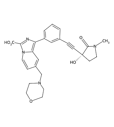 CN1CC[C@@](O)(C#Cc2cccc(-c3nc(C(=O)O)n4ccc(CN5CCOCC5)cc34)c2)C1=O